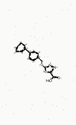 O=C(O)c1nnc(OCc2ccc(-c3ccccc3)cc2)o1